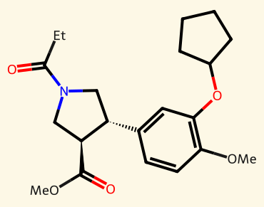 CCC(=O)N1C[C@H](C(=O)OC)[C@@H](c2ccc(OC)c(OC3CCCC3)c2)C1